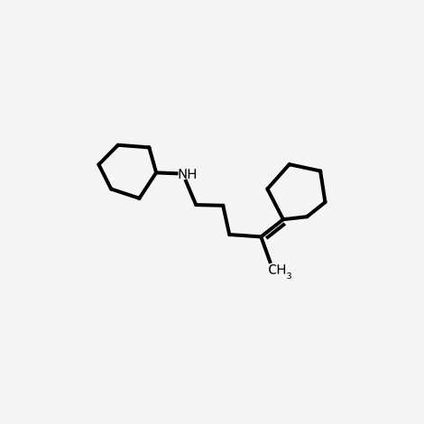 CC(CCCNC1CCCCC1)=C1CCCCC1